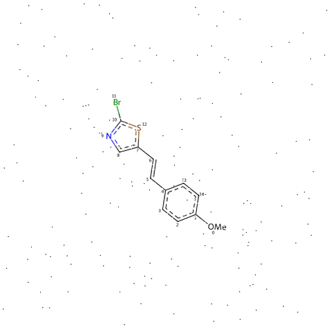 COc1ccc(/C=C/c2cnc(Br)s2)cc1